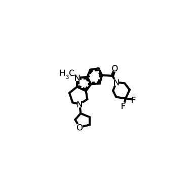 Cn1c2c(c3cc(C(=O)N4CCC(F)(F)CC4)ccc31)CN(C1CCOC1)CC2